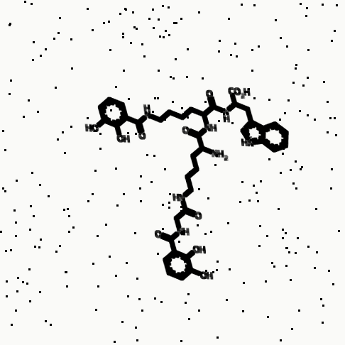 NC(CCCCNC(=O)CNC(=O)c1cccc(O)c1O)C(=O)NC(CCCCNC(=O)c1cccc(O)c1O)C(=O)NC(Cc1c[nH]c2ccccc12)C(=O)O